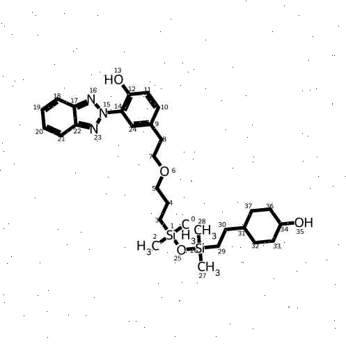 C[Si](C)(CCCOCCc1ccc(O)c(-n2nc3ccccc3n2)c1)O[Si](C)(C)CCC1CCC(O)CC1